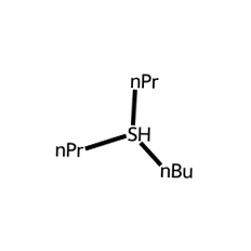 CCCC[SH](CCC)CCC